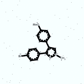 COc1ccc(-c2cn(C)nc2-c2ccc(Br)cc2)cc1